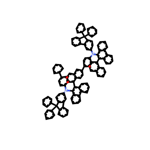 c1ccc(-c2ccc(N(c3ccc4c(c3)-c3ccccc3C4(c3ccccc3)c3ccccc3)c3c(-c4cccc5cc(-c6ccc(N(c7ccc8c(c7)-c7ccccc7C8(c7ccccc7)c7ccccc7)c7c(-c8cccc9ccccc89)c8ccccc8c8ccccc78)cc6)ccc45)c4ccccc4c4ccccc34)cc2)cc1